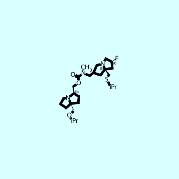 CC(C)OC[C@]12CCCN1[C@@H](COC(=O)N(C)CC1CN3C[C@H](F)C[C@]3(CSC(C)C)C1)CC2